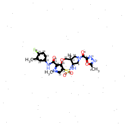 Cc1nnc(C(=O)N2CC3NS(=O)(=O)c4cn(C)c(C(=O)Nc5ccc(F)c(C)c5)c4OC[C@@H]3C2)o1